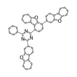 c1ccc(-c2nc(-c3ccc4c(c3)oc3ccccc34)nc(-c3ccc(-c4ccc5c(c4)oc4ccccc45)c4oc5ccccc5c34)n2)cc1